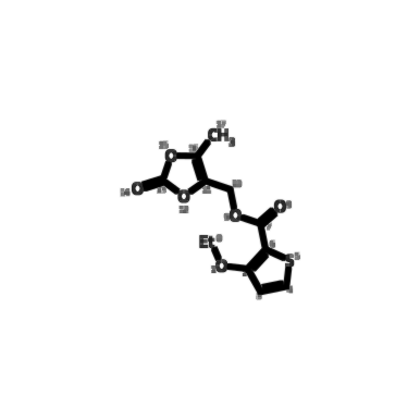 CCOc1ccsc1C(=O)OCc1oc(=O)oc1C